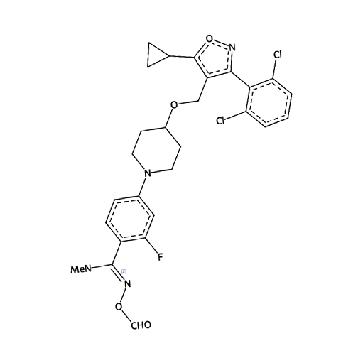 CN/C(=N\OC=O)c1ccc(N2CCC(OCc3c(-c4c(Cl)cccc4Cl)noc3C3CC3)CC2)cc1F